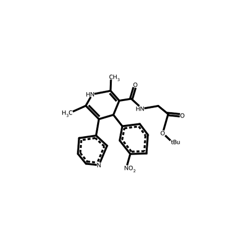 CC1=C(C(=O)NCC(=O)OC(C)(C)C)C(c2cccc([N+](=O)[O-])c2)C(c2cccnc2)=C(C)N1